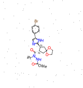 COC(=O)NN(C(=O)[C@H]1CC2(C[C@@H]1c1ncc(-c3ccc(Br)cc3)[nH]1)OCCO2)C(C)C